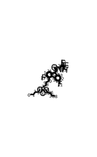 CCCCOP(=O)(CCCCc1c(F)ccc2c1-c1cc(F)ccc1C2C(=O)NCC(F)(F)F)OCCCC